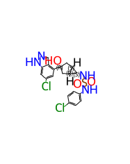 O=S(=O)(Nc1ccc(Cl)cc1)N[C@@H]1[C@@H]2C[C@@](O)(c3cc(Cl)cc4[nH]ncc34)C[C@@H]21